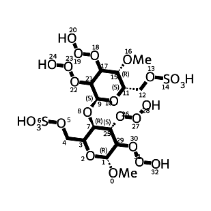 CO[C@@H]1OC(COS(=O)(=O)O)[C@@H](O[C@@H]2O[C@@H](COS(=O)(=O)O)[C@@H](OC)C(OOO)C2OOO)[C@H](OOO)C1OOO